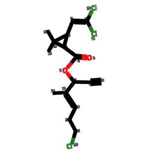 C#CC(OC(=O)C1C(C=C(Cl)Cl)C1(C)C)/C(C)=C/CCCl